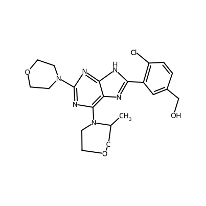 CC1COCCN1c1nc(N2CCOCC2)nc2[nH]c(-c3cc(CO)ccc3Cl)nc12